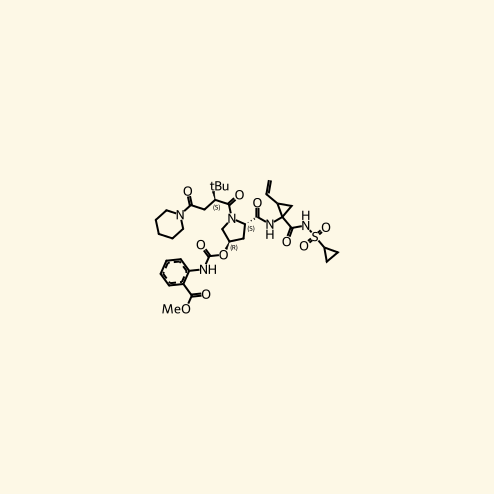 C=CC1CC1(NC(=O)[C@@H]1C[C@@H](OC(=O)Nc2ccccc2C(=O)OC)CN1C(=O)[C@@H](CC(=O)N1CCCCC1)C(C)(C)C)C(=O)NS(=O)(=O)C1CC1